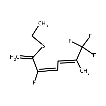 C=C(SCC)/C(F)=C\C=C(/C)C(F)(F)F